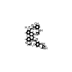 Cc1ccc(NC2CNC2)cc1C(=O)NC(C)c1cccc2c1CCC(CC(NC(=O)c1cc(NC3CNC3)ccc1C)c1cccc3c1OCCO3)C2